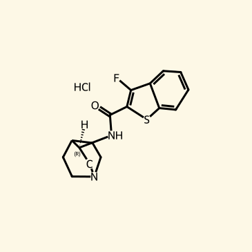 Cl.O=C(N[C@H]1CN2CCC1CC2)c1sc2ccccc2c1F